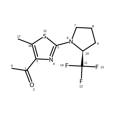 CC(=O)c1nc(N2CCC[C@H]2C(F)(F)F)sc1C